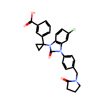 O=C(O)c1cccc(C2(n3c(=O)n(-c4ccc(CN5CCCC5=O)cc4)c4cc(Cl)ccc43)CC2)c1